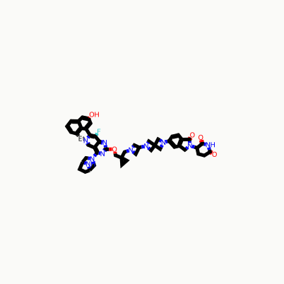 CCc1cccc2cc(O)cc(-c3ncc4c(N5CC6CCC(C5)N6)nc(OCC5(CN6CC(N7CC8(CN(c9ccc%10c(c9)CN(C9CCC(=O)NC9=O)C%10=O)C8)C7)C6)CC5)nc4c3F)c12